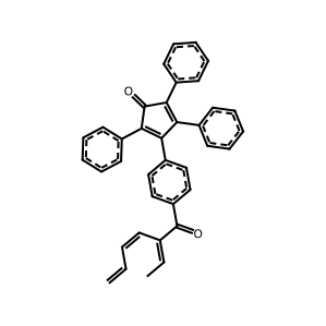 C=C/C=C\C(=C/C)C(=O)c1ccc(C2=C(c3ccccc3)C(=O)C(c3ccccc3)=C2c2ccccc2)cc1